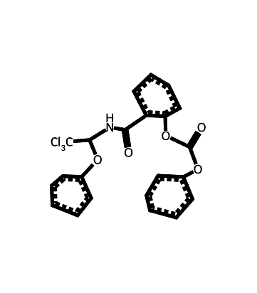 O=C(Oc1ccccc1)Oc1ccccc1C(=O)NC(Oc1ccccc1)C(Cl)(Cl)Cl